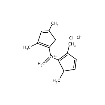 [CH2]=[Zr+2]([C]1=C(C)C=C(C)C1)[C]1=C(C)C=CC1C.[Cl-].[Cl-]